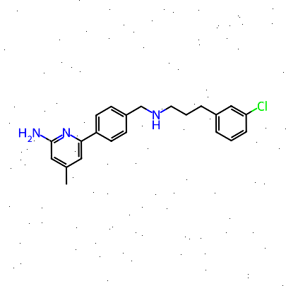 Cc1cc(N)nc(-c2ccc(CNCCCc3cccc(Cl)c3)cc2)c1